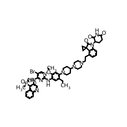 CCc1cc(Nc2ncc(Br)c(Nc3cnc4ccccc4c3P(C)(C)=O)n2)c(OC)cc1N1CCC(N2CCN(CCc3cccc4c3C3(CC3)C(=O)N4C3CCC(=O)NC3=O)CC2)CC1